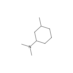 CC1CCCC(N(C)C)C1